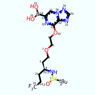 CC(C)(C)[S+]([O-])N[C@H](CCOCCOc1nc(B(O)O)cn2ncnc12)CCC(F)(F)F